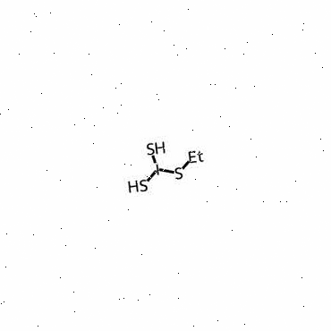 CCSI(S)S